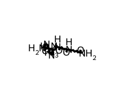 Cc1c(N)cncc1-c1cc(/C=C(\N)NC(=O)CCCC(=O)NCCCCCC(N)=O)c2c(c1F)N=C2